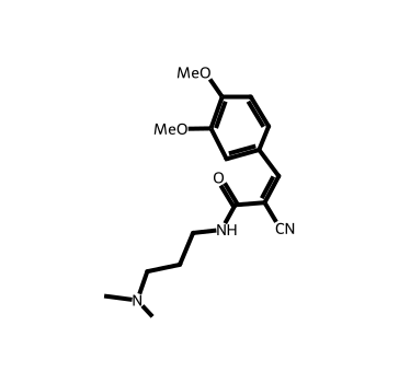 COc1ccc(C=C(C#N)C(=O)NCCCN(C)C)cc1OC